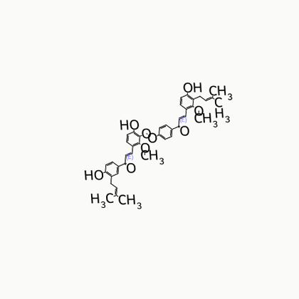 COc1c(/C=C/C(=O)c2ccc(OOc3c(O)ccc(/C=C/C(=O)c4ccc(O)c(CC=C(C)C)c4)c3OC)cc2)ccc(O)c1CC=C(C)C